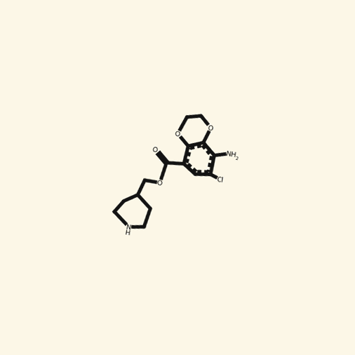 Nc1c(Cl)cc(C(=O)OCC2CCNCC2)c2c1OCCO2